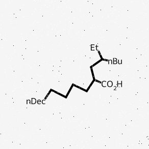 CCCCCCCCCCCCCCC(CC(CC)CCCC)C(=O)O